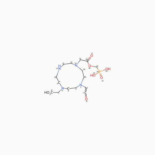 O=C=CN1CCN(CC(=O)O)CCNCCN(CC(=O)OCP(=O)(O)O)CC1